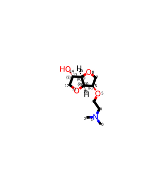 CN(C)CCO[C@@H]1CO[C@H]2[C@@H]1OC[C@@H]2O